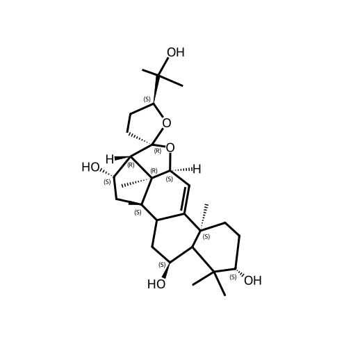 CC(C)(O)[C@@H]1CC[C@]2(O1)O[C@H]1C=C3C(C[C@H](O)C4C(C)(C)[C@@H](O)CC[C@]34C)[C@]3(C)C[C@H](O)[C@H]2[C@@]13C